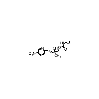 CCNC(=O)OCC(C)(C)SSc1ccc([N+](=O)[O-])cn1